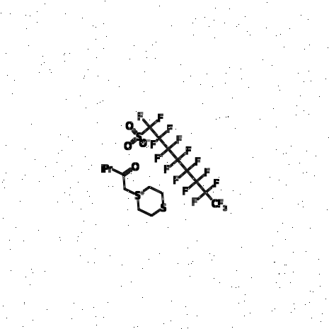 CC(C)C(=O)C[S+]1CCSCC1.O=S(=O)([O-])C(F)(F)C(F)(F)C(F)(F)C(F)(F)C(F)(F)C(F)(F)C(F)(F)C(F)(F)F